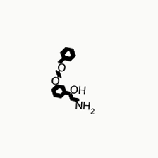 NCCC(O)C1C=CC=C(OCCOCc2ccccc2)C1